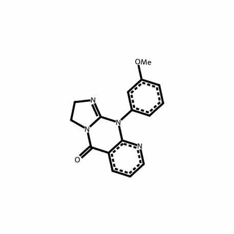 COc1cccc(N2C3=NCCN3C(=O)c3cccnc32)c1